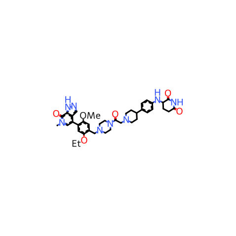 CCOc1cc(-c2cn(C)c(=O)c3[nH]ncc23)c(OC)cc1CN1CCN(C(=O)CN2CCC(c3ccc(NC4CCC(=O)NC4=O)cc3)CC2)CC1